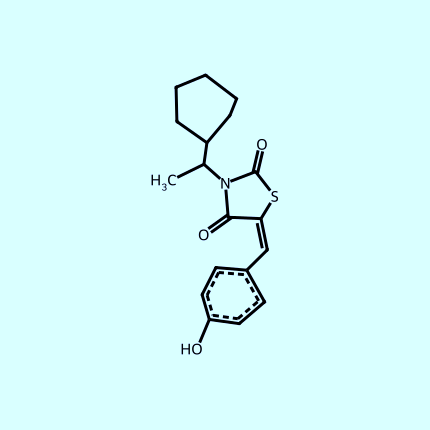 CC(C1CCCCC1)N1C(=O)SC(=Cc2ccc(O)cc2)C1=O